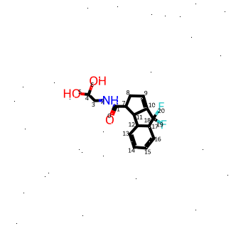 O=C(NCC(O)O)C1CC=C2C1C1C=CC=CC1C2(F)F